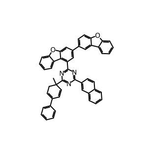 CC1(c2nc(-c3ccc4ccccc4c3)nc(-c3cc(-c4ccc5oc6ccccc6c5c4)cc4oc5ccccc5c34)n2)C=CC(c2ccccc2)=CC1